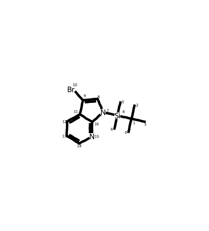 CC(C)(C)[Si](C)(C)n1cc(Br)c2cccnc21